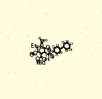 CCON(C(=O)C(NS(=O)(=O)c1ccc(-c2ccccc2)cc1)C(C=C=O)C(=O)OC(C)(C)C)C1CC1